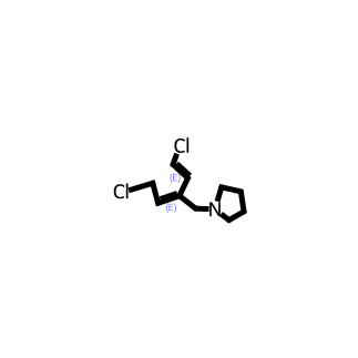 Cl/C=C/C(=C\CCl)CN1CCCC1